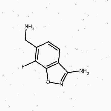 NCc1ccc2c(N)noc2c1F